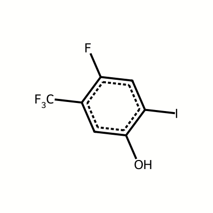 Oc1cc(C(F)(F)F)c(F)cc1I